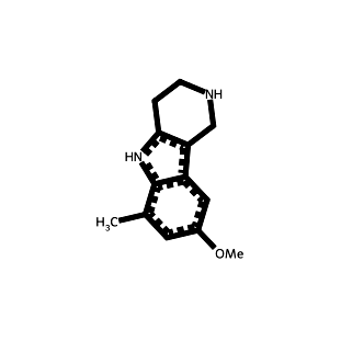 COc1cc(C)c2[nH]c3c(c2c1)CNCC3